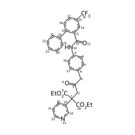 CCOC(=O)C(CC(=O)Cc1ccc(NC(=O)c2cc(C(F)(F)F)ccc2-c2ccccc2)cc1)(C(=O)OCC)c1cccnc1